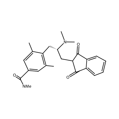 CNC(=O)c1cc(C)c(C[C@@H](CC2C(=O)c3ccccc3C2=O)N(C)C)c(C)c1